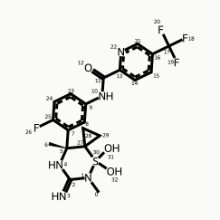 CN1C(=N)N[C@](C)(c2cc(NC(=O)c3ccc(C(F)(F)F)cn3)ccc2F)C2(CC2)S1(O)O